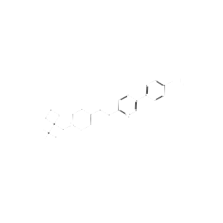 Cc1ccc(-c2ccc(CCC3CCN(CC4(C(F)(F)F)CCC4)CC3)nc2)cc1